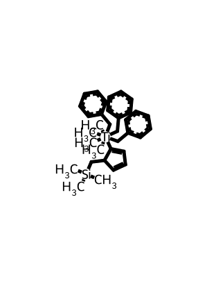 C[Si](C)(C)CC1C=CC=[C]1[Ti]([CH3])([CH3])([CH3])([CH3])([CH2]c1ccccc1)([CH2]c1ccccc1)[CH2]c1ccccc1